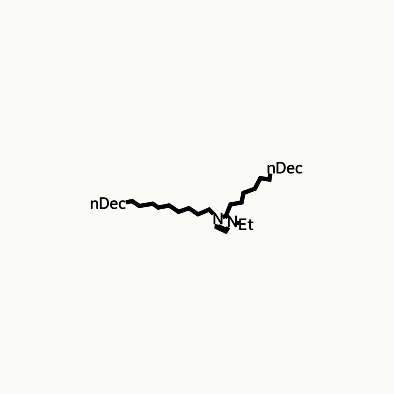 CCCCCCCCCCCCCCCCCCCN1C=CN(CC)C1CCCCCCCCCCCCCCCC